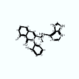 C[C@H](Nc1ncnc2[nH]cnc12)c1cc2cccc(F)c2c(=O)n1-c1ccccc1F